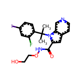 CC(C)(c1ccc(I)cc1F)n1c(C(=O)NOCCO)cc2ccncc21